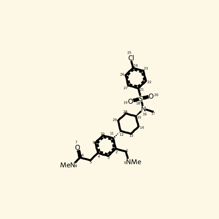 CNCc1cc(CC(=O)NC)ccc1[C@H]1CC[C@H](N(C)S(=O)(=O)c2ccc(Cl)cc2)CC1